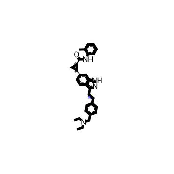 CCN(CC)Cc1ccc(/C=C/c2n[nH]c3cc([C@@H]4C[C@H]4C(=O)Nc4ccccc4C)ccc23)cc1